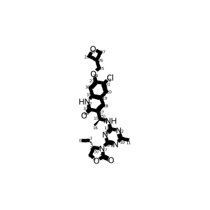 CC[C@H]1COC(=O)N1c1nc(C)nc(N[C@@H](C)c2cc3cc(Cl)c(OCC4COC4)cc3[nH]c2=O)n1